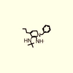 CCCC1=CCN(Cc2ccccc2)C([NH])=C1NC(C)(C)C